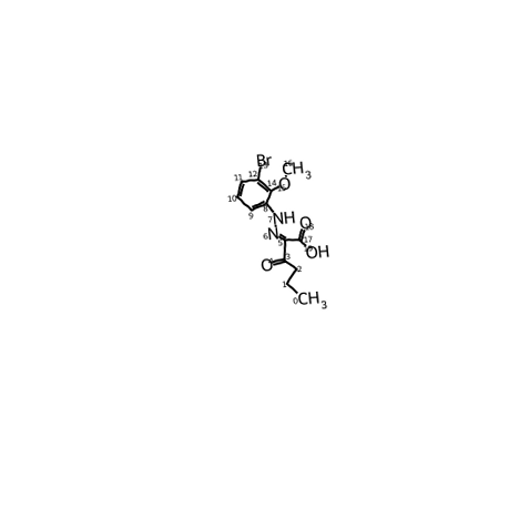 CCCC(=O)C(=NNc1cccc(Br)c1OC)C(=O)O